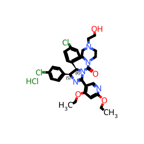 CCOc1cc(OCC)c(C2=N[C@@H](c3ccc(Cl)cc3)[C@@H](c3ccc(Cl)cc3)N2C(=O)N2CCN(CCO)CC2)cn1.Cl